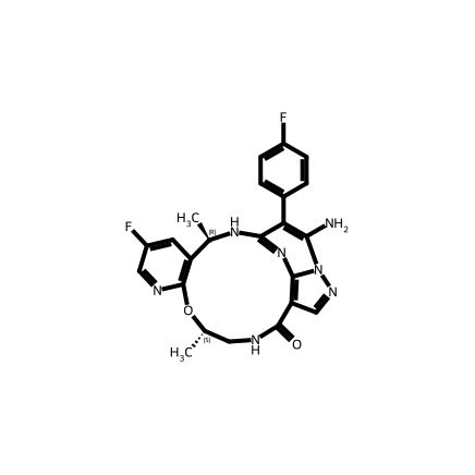 C[C@H]1CNC(=O)c2cnn3c(N)c(-c4ccc(F)cc4)c(nc23)N[C@H](C)c2cc(F)cnc2O1